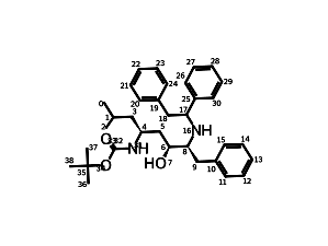 CC(C)C[C@@H](C[C@H](O)[C@H](Cc1ccccc1)NC(Cc1ccccc1)c1ccccc1)NC(=O)OC(C)(C)C